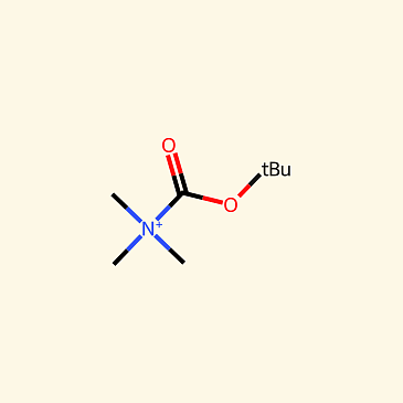 CC(C)(C)OC(=O)[N+](C)(C)C